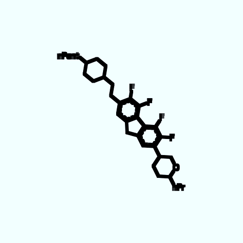 CCCCCC1CCC(CCc2cc3c(c(F)c2F)-c2c(cc(C4CCC(CCC)OC4)c(F)c2F)C3)CC1